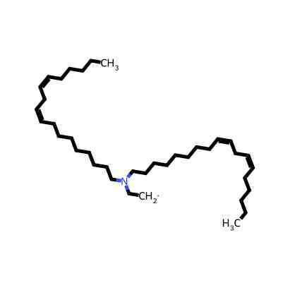 [CH2]CN(CCCCCCCC/C=C\C/C=C\CCCCC)CCCCCCCC/C=C\C/C=C\CCCCC